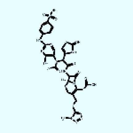 Cn1nnnc1SCC1=C(OC(=O)O)N2C(=O)C(NC(=O)C(c3csc(=N)[nH]3)N(C(N)=O)c3cnc(Nc4ccc(S(N)(=O)=O)cc4)nc3O)[C@@H]2SC1